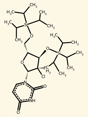 CC(C)[Si](OC[C@H]1O[C@@H](n2ccc(=O)[nH]c2=O)[C@](F)(Cl)[C@@H]1O[Si](C(C)C)(C(C)C)C(C)C)(C(C)C)C(C)C